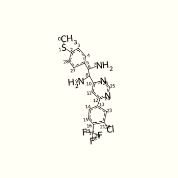 CSc1ccc(C(N)C(N)c2cc(-c3ccc(C(F)(F)F)c(Cl)c3)ncn2)cc1